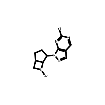 CC(=O)N1CC2CCC(n3ncc4cnc(Cl)nc43)C21